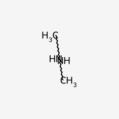 CCCCCCCCCCCCNNCCCCCCCCCC